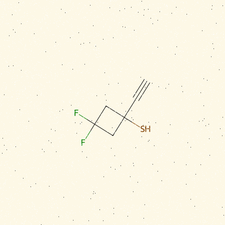 C#CC1(S)CC(F)(F)C1